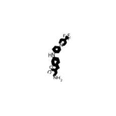 NCCc1cc2ccc(Nc3ccc(N4CCC(C(F)(F)F)CC4)cc3)cc2oc1=O